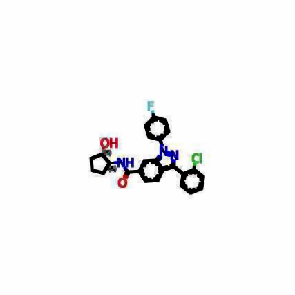 O=C(N[C@H]1CCC[C@@H]1O)c1ccc2c(-c3ccccc3Cl)nn(-c3ccc(F)cc3)c2c1